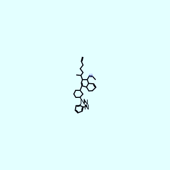 C=CCCCC(C)C1C=C(C2CCCC(n3nnc4ccccc43)C2)C2CCC=CC2C1/C=C\C